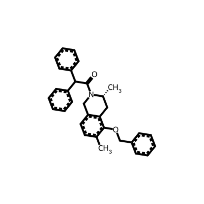 Cc1ccc2c(c1OCc1ccccc1)C[C@@H](C)N(C(=O)C(c1ccccc1)c1ccccc1)C2